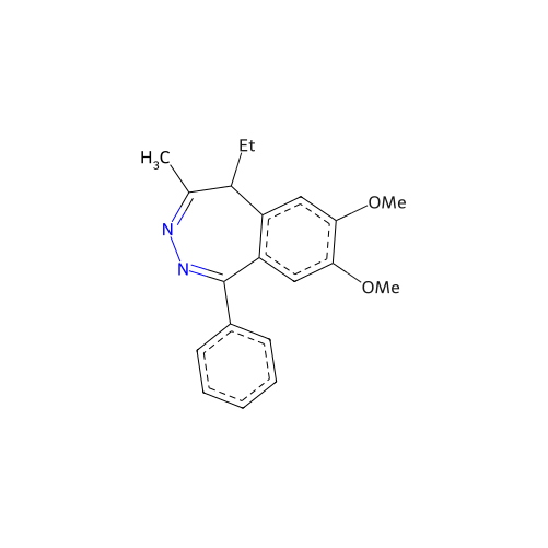 CCC1C(C)=NN=C(c2ccccc2)c2cc(OC)c(OC)cc21